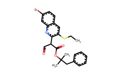 CCSc1cc2ccc(Br)cc2nc1C(C=O)C(=O)OC(C)(C)Cc1ccccc1